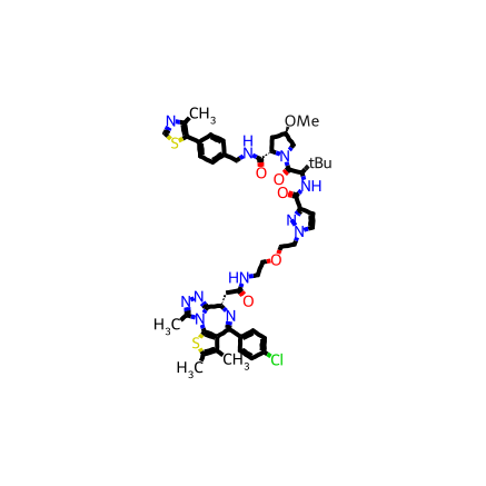 CO[C@@H]1C[C@@H](C(=O)NCc2ccc(-c3scnc3C)cc2)N(C(=O)C(NC(=O)c2ccn(CCOCCNC(=O)C[C@@H]3N=C(c4ccc(Cl)cc4)c4c(sc(C)c4C)-n4c(C)nnc43)n2)C(C)(C)C)C1